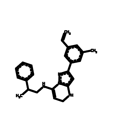 C=Cc1cc(C)cc(-c2cc3n(n2)C(NCC(C)c2ccccc2)=CCP3)c1